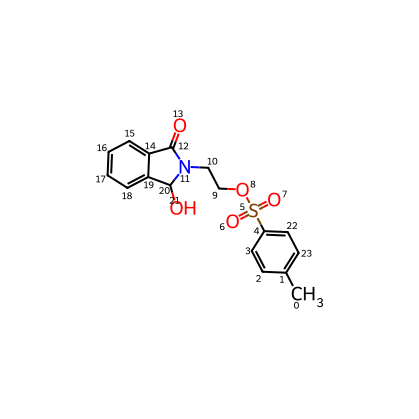 Cc1ccc(S(=O)(=O)OCCN2C(=O)c3ccccc3C2O)cc1